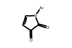 CC(=O)N1C=CC(=O)C1=O